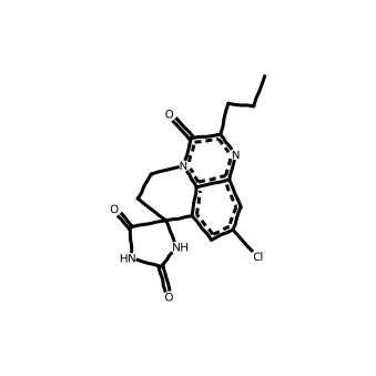 CCCc1nc2cc(Cl)cc3c2n(c1=O)CCC31NC(=O)NC1=O